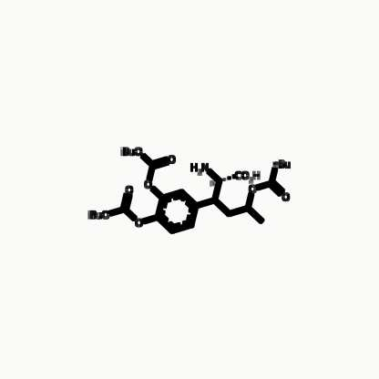 CCCCC(=O)OC(C)CC(c1ccc(OC(=O)OCC(C)C)c(OC(=O)OCC(C)C)c1)[C@H](N)C(=O)O